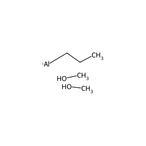 CC[CH2][Al].CO.CO